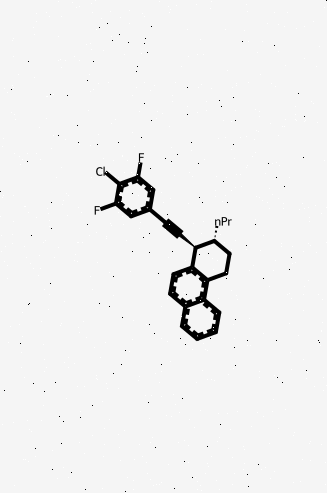 CCC[C@@H]1CCc2c(ccc3ccccc23)[C@H]1C#Cc1cc(F)c(Cl)c(F)c1